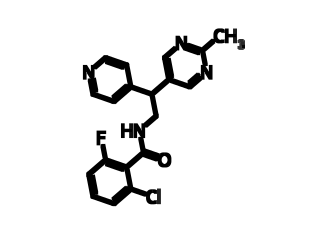 Cc1ncc(C(CNC(=O)c2c(F)cccc2Cl)c2ccncc2)cn1